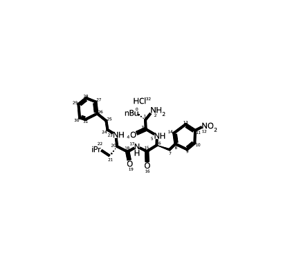 CCCC[C@H](N)C(=O)N[C@@H](Cc1ccc([N+](=O)[O-])cc1)C(=O)NC(=O)[C@H](CC(C)C)NCCc1ccccc1.Cl